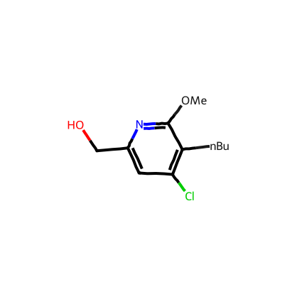 CCCCc1c(Cl)cc(CO)nc1OC